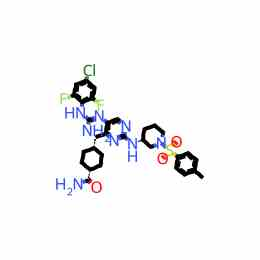 Cc1ccc(S(=O)(=O)N2CCC[C@@H](Nc3ncc(/N=C(\N)Nc4c(F)cc(Cl)cc4F)c(C[C@H]4CC[C@@H](C(N)=O)CC4)n3)C2)cc1